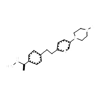 CC(=O)N1CCN(c2ccc(CCc3ccc(C(=O)NN)cc3)nc2)CC1